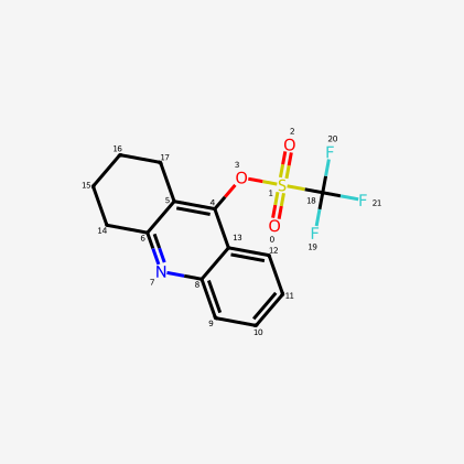 O=S(=O)(Oc1c2c(nc3ccccc13)CCCC2)C(F)(F)F